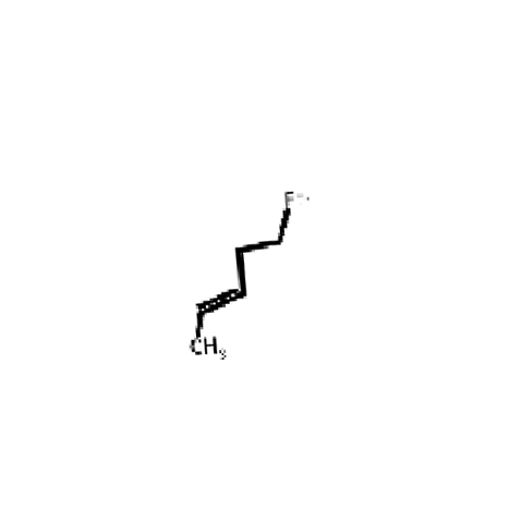 C[CH]CC/C=C/C